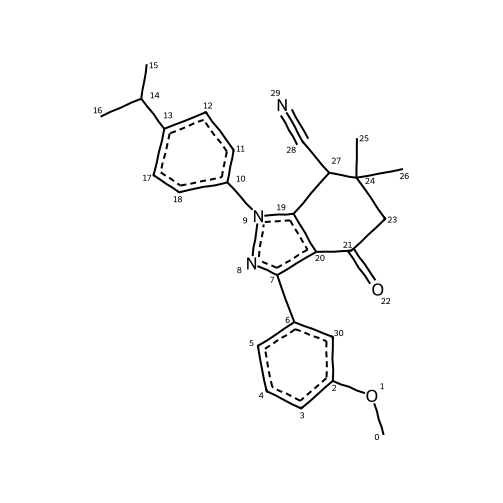 COc1cccc(-c2nn(-c3ccc(C(C)C)cc3)c3c2C(=O)CC(C)(C)C3C#N)c1